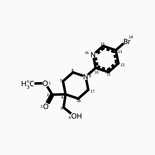 COC(=O)C1(CO)CCN(c2ccc(Br)cn2)CC1